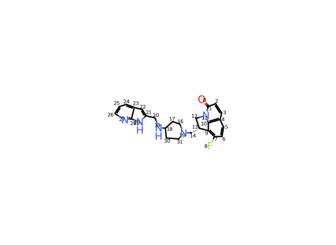 O=c1ccc2ccc(F)c3c2n1C[C@H]3CN1CCC(NCc2cc3cccnc3[nH]2)CC1